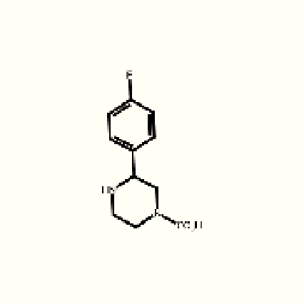 O=C(O)N1CCNC(c2ccc(F)cc2)C1